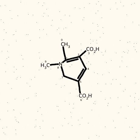 CC1=C(C(=O)O)C=C(C(=O)O)CN1C